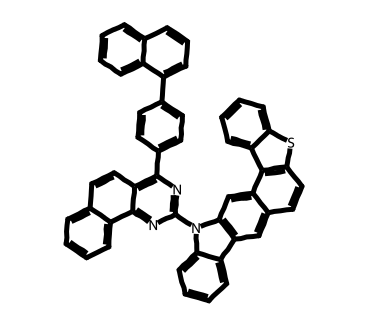 c1ccc2c(-c3ccc(-c4nc(-n5c6ccccc6c6cc7ccc8sc9ccccc9c8c7cc65)nc5c4ccc4ccccc45)cc3)cccc2c1